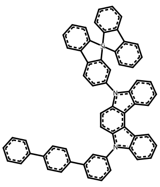 c1ccc(-c2ccc(-c3cccc(-n4c5ccccc5c5c6c7ccccc7n(-c7ccc8c(c7)[Si]7(c9ccccc9-c9ccccc97)c7ccccc7-8)c6ccc54)c3)cc2)cc1